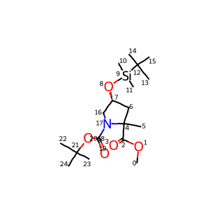 COC(=O)C1(C)C[C@H](O[Si](C)(C)C(C)(C)C)CN1C(=O)OC(C)(C)C